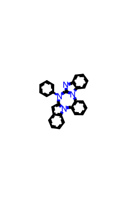 c1ccc(-n2c3cc4ccccc4n3c3ccccc3n3c4ccccc4nc23)cc1